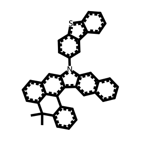 CC1(C)c2ccccc2-c2c3c1cccc3cc1c2c2cc3ccccc3cc2n1-c1ccc2sc3ccccc3c2c1